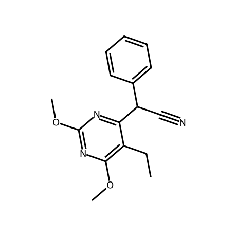 CCc1c(OC)nc(OC)nc1C(C#N)c1ccccc1